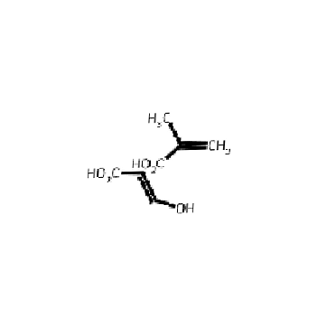 C=C(C)C(=O)O.O=C(O)C=CO